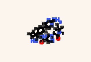 CN(C(=O)Cn1cc(C(=O)NC(=N)C2(c3ccc(-c4cnc(N)nc4)cc3)CCC2)cn1)C(C)(C)C